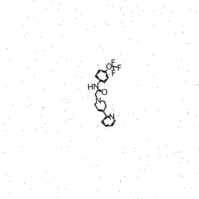 O=C(CN1CC=C(c2ccccn2)CC1)Nc1ccc(OC(F)(F)F)cc1